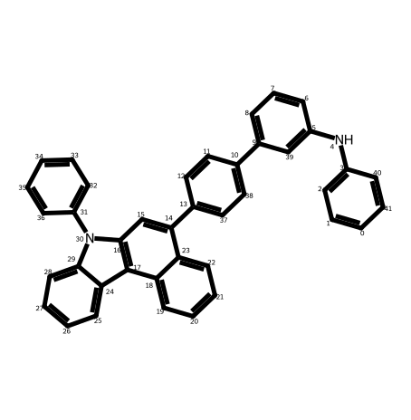 c1ccc(Nc2cccc(-c3ccc(-c4cc5c(c6ccccc46)c4ccccc4n5-c4ccccc4)cc3)c2)cc1